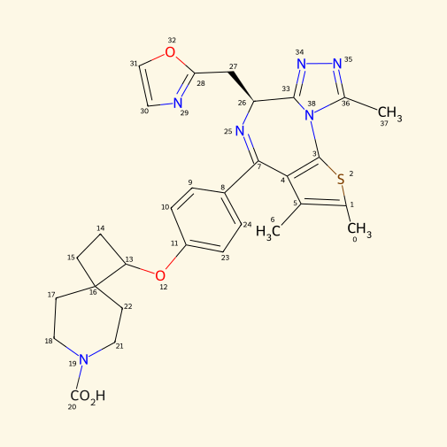 Cc1sc2c(c1C)C(c1ccc(OC3CCC34CCN(C(=O)O)CC4)cc1)=N[C@@H](Cc1ncco1)c1nnc(C)n1-2